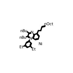 CCCCCCCCC=CCCc1ccccc1N=C(CCCC)C(CCCC)=Nc1cc(CC)cc(CC)c1.[Ni]